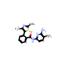 CCCCc1nc(C(F)(F)F)c(-c2ccccc2C(=O)Nc2ccc([N+](=O)[O-])c(N)n2)s1